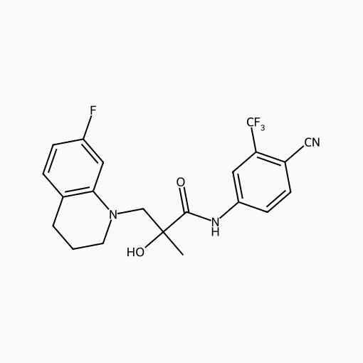 CC(O)(CN1CCCc2ccc(F)cc21)C(=O)Nc1ccc(C#N)c(C(F)(F)F)c1